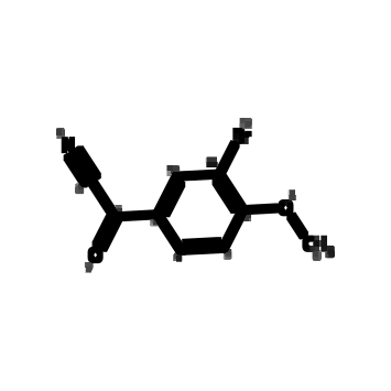 COc1ccc(C(=O)C#N)cc1Br